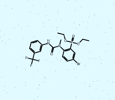 CCOP(=O)(OCC)c1cc(Br)ccc1N(C)C(=O)Nc1cccc(C(F)(F)F)c1